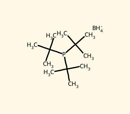 CC(C)(C)P(C(C)(C)C)C(C)(C)C.[BH4-]